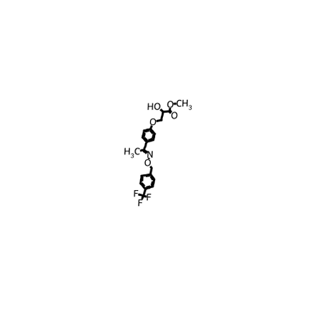 COC(=O)C(O)COc1ccc(C(C)=NOCc2ccc(C(F)(F)F)cc2)cc1